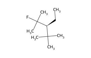 CC[C@@H](C(C)(C)C)C(C)(C)F